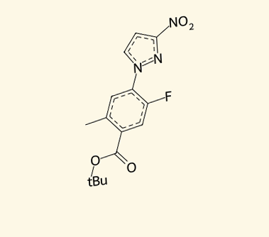 Cc1cc(-n2ccc([N+](=O)[O-])n2)c(F)cc1C(=O)OC(C)(C)C